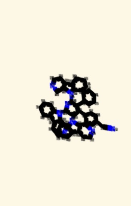 N#Cc1ccc(-c2c(-c3ccccc3)c(-n3c4ccccc4c4ccncc43)nc(-n3c4ccccc4c4ccncc43)c2-n2c3ccccc3c3ccncc32)cc1